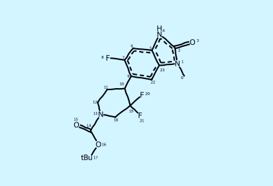 Cn1c(=O)[nH]c2cc(F)c(C3CCN(C(=O)OC(C)(C)C)CC3(F)F)cc21